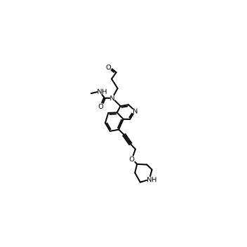 CNC(=O)N(CCC=O)c1cncc2c(C#CCOC3CCNCC3)cccc12